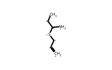 C=CCSC(N)CC